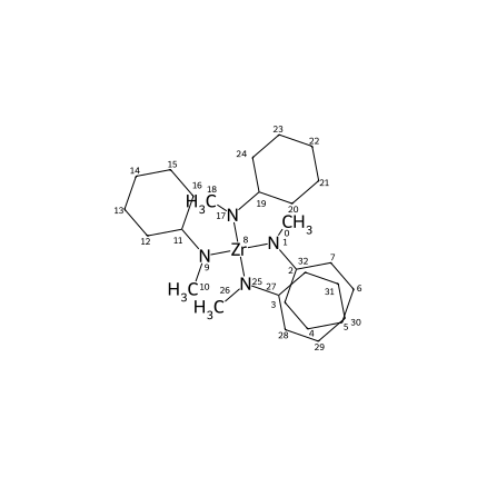 C[N](C1CCCCC1)[Zr]([N](C)C1CCCCC1)([N](C)C1CCCCC1)[N](C)C1CCCCC1